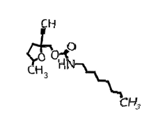 C#CC1(COC(=O)NCCCCCCCC)CCC(C)O1